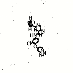 Clc1cc(Nc2ncnc3cnc(N4C[C@H]5CC[C@@H]4CO5)nc23)ccc1Oc1ccn2ncnc2c1